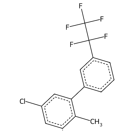 Cc1[c]cc(Cl)cc1-c1cccc(C(F)(F)C(F)(F)F)c1